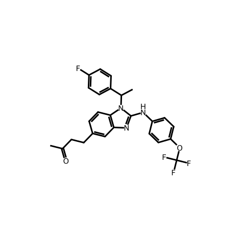 CC(=O)CCc1ccc2c(c1)nc(Nc1ccc(OC(F)(F)F)cc1)n2C(C)c1ccc(F)cc1